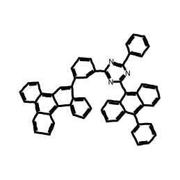 c1ccc(-c2nc(-c3cccc(-c4cc5c6ccccc6c6ccccc6c5c5ccccc45)c3)nc(-c3c4ccccc4c(-c4ccccc4)c4ccccc34)n2)cc1